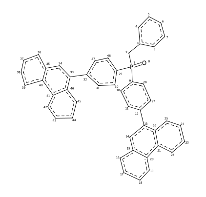 O=P(Cc1ccccc1)(c1ccc(-c2cc3ccccc3c3ccccc23)cc1)c1ccc(-c2cc3ccccc3c3ccccc23)cc1